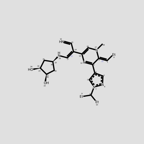 CC/C=C1/C(c2cnn(C(CC)CC)c2)=NC(/C(C=N)=C/N[C@H]2C[C@@H](O)[C@@H](O)C2)=CN1C